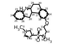 CN1C=NC(S(=O)(=O)N(C)CCOc2ccc3c(c2)C(Cc2ccccc2)C(N)CC3)C1